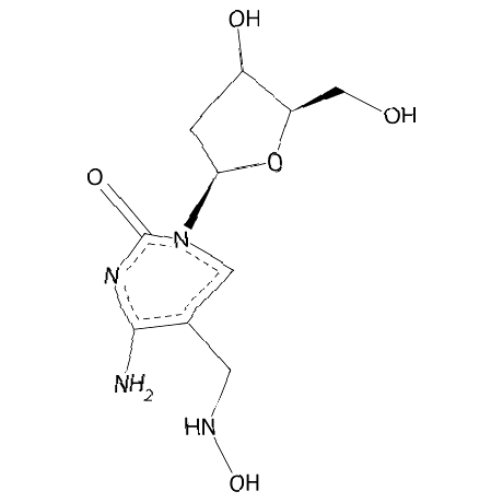 Nc1nc(=O)n([C@H]2CC(O)[C@@H](CO)O2)cc1CNO